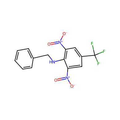 O=[N+]([O-])c1cc(C(F)(F)F)cc([N+](=O)[O-])c1NCc1ccccc1